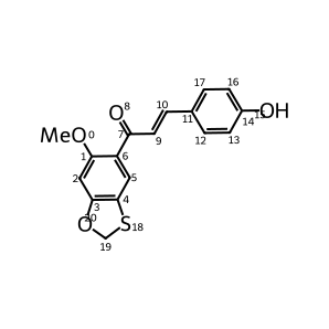 COc1cc2c(cc1C(=O)/C=C/c1ccc(O)cc1)SCO2